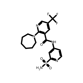 NS(=O)(=O)c1cc(NC(=O)c2cc(C(F)(F)F)cnc2N2CCCCCC2)ccn1